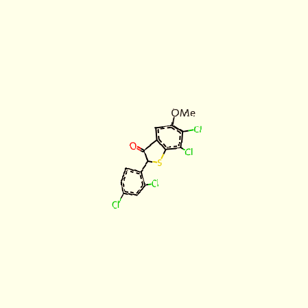 COc1cc2c(c(Cl)c1Cl)SC(c1ccc(Cl)cc1Cl)C2=O